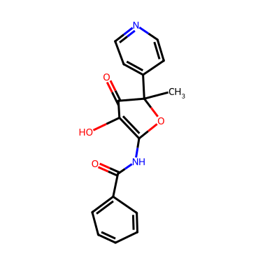 CC1(c2ccncc2)OC(NC(=O)c2ccccc2)=C(O)C1=O